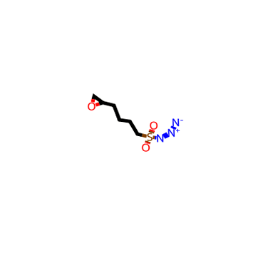 [N-]=[N+]=NS(=O)(=O)CCCCC1CO1